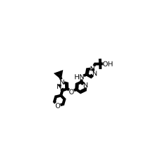 CC(C)(O)Cn1cc(Nc2cc(Oc3cn(C4CC4)nc3C3CCOCC3)ccn2)cn1